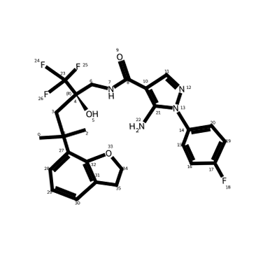 CC(C)(C[C@@](O)(CNC(=O)c1cnn(-c2ccc(F)cc2)c1N)C(F)(F)F)c1cccc2c1OCC2